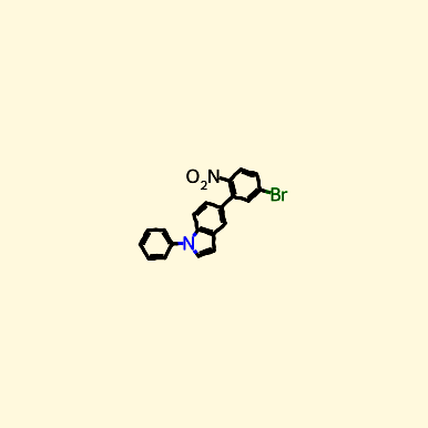 O=[N+]([O-])c1ccc(Br)cc1-c1ccc2c(ccn2-c2ccccc2)c1